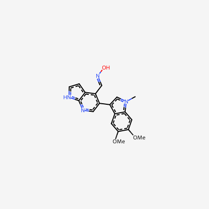 COc1cc2c(-c3cnc4[nH]ccc4c3C=NO)cn(C)c2cc1OC